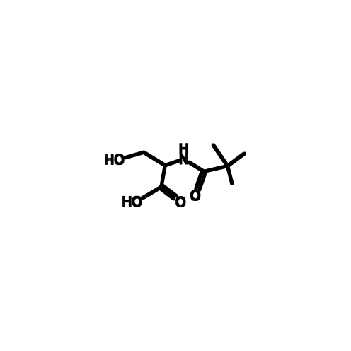 CC(C)(C)C(=O)NC(CO)C(=O)O